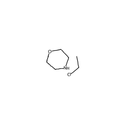 C1COCCN1.CCCl